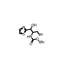 CC(C)CC(NC(=O)OC(C)(C)C)C(O)c1nccs1